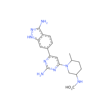 CC1CCC(NC(=O)O)CN1c1cc(-c2ccc3c(N)n[nH]c3c2)nc(N)n1